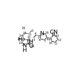 C[C@H]1[C@H](/C=C/c2ccc(-c3ccccc3C#N)cn2)[C@H]2C(=O)NC[C@H]2C[C@@H]1C